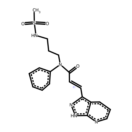 CS(=O)(=O)NCCCN(C(=O)/C=C/c1n[nH]c2ncccc12)c1ccccc1